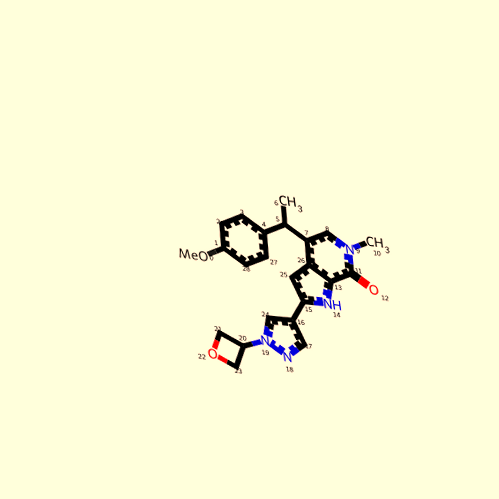 COc1ccc(C(C)c2cn(C)c(=O)c3[nH]c(-c4cnn(C5COC5)c4)cc23)cc1